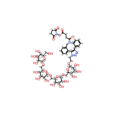 O=C(CCC(=O)N1Cc2ccccc2-c2c(nnn2CCO[C@@H]2O[C@H](CO[C@@H]3O[C@H](CO[C@@H]4O[C@H](CO[C@@H]5O[C@H](CO)[C@@H](O)[C@H](O)[C@H]5O)[C@@H](O)[C@H](O)[C@H]4O)[C@@H](O)[C@H](O)[C@H]3O)[C@@H](O)[C@H](O)[C@H]2O)-c2ccccc21)ON1C(=O)CCC1=O